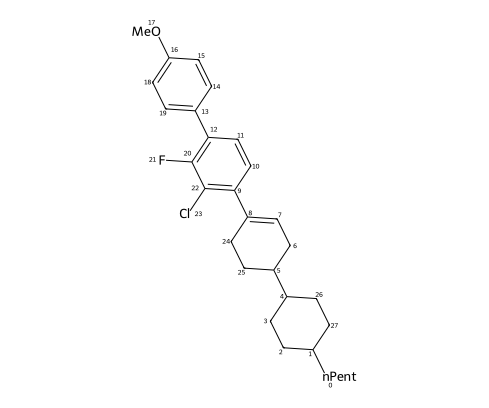 CCCCCC1CCC(C2CC=C(c3ccc(-c4ccc(OC)cc4)c(F)c3Cl)CC2)CC1